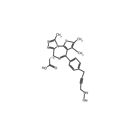 Cc1sc2c(c1C)C(c1ccc(CC#CCNO)cc1)=N[C@H](CC(=O)O)c1nnc(C)n1-2